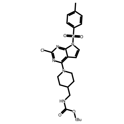 Cc1ccc(S(=O)(=O)n2ccc3c(N4CCC(CNC(=O)OC(C)(C)C)CC4)nc(Cl)nc32)cc1